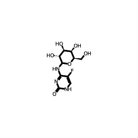 O=c1nc(NC2O[C@H](CO)[C@H](O)[C@H](O)[C@H]2O)c(F)c[nH]1